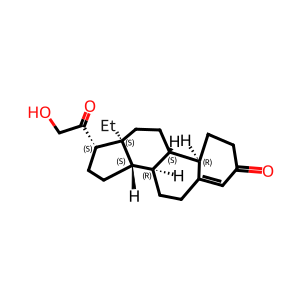 CC[C@]12CC[C@H]3[C@@H](CCC4=CC(=O)CC[C@@H]43)[C@@H]1CC[C@@H]2C(=O)CO